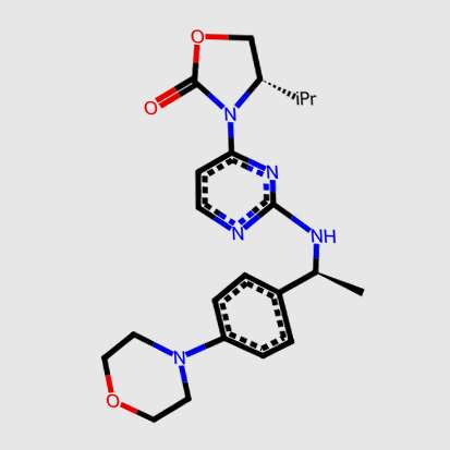 CC(C)[C@H]1COC(=O)N1c1ccnc(N[C@@H](C)c2ccc(N3CCOCC3)cc2)n1